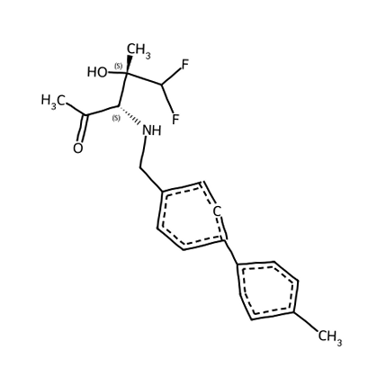 CC(=O)[C@@H](NCc1ccc(-c2ccc(C)cc2)cc1)[C@](C)(O)C(F)F